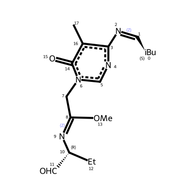 CC[C@H](C)/C=N\c1ncn(C/C(=N/[C@@H](C=O)CC)OC)c(=O)c1C